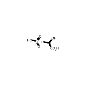 CCC(O)C(=O)O.O=[SH](=O)O